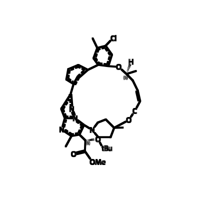 COC(=O)[C@@H](OC(C)(C)C)c1c(C)nc2cc3nn2c1N1CCC(C)(CC1)OCC=CC[C@H](C)Oc1cc(Cl)c(C)cc1-c1cccc-3c1